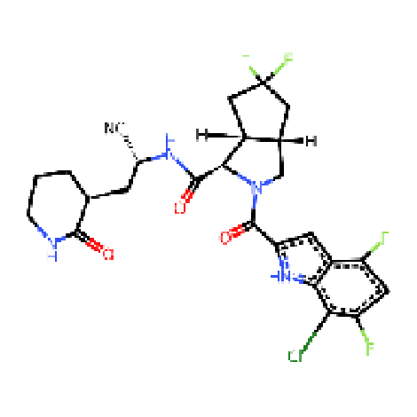 N#C[C@@H](C[C@@H]1CCCNC1=O)NC(=O)[C@H]1[C@@H]2CC(F)(F)C[C@@H]2CN1C(=O)c1cc2c(F)cc(F)c(Cl)c2[nH]1